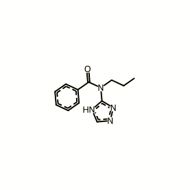 CCCN(C(=O)c1ccccc1)c1nnc[nH]1